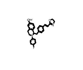 Oc1ccc2c(c1)CCN(c1ccc(F)cc1)C2Cc1ccc(C=CC2=NCCO2)cc1